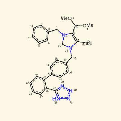 CCCCC1=C(C(OC)OC)N(Cc2ccccc2)CN1Cc1ccc(-c2ccccc2-c2nnn[nH]2)cc1